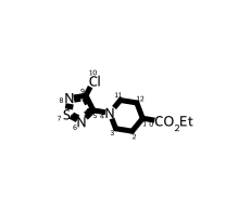 CCOC(=O)C1CCN(c2nsnc2Cl)CC1